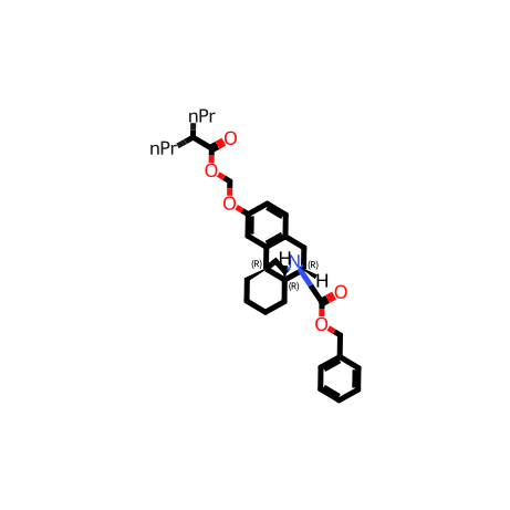 CCCC(CCC)C(=O)OCOc1ccc2c(c1)[C@@]13CCCC[C@H]1[C@@H](C2)N(C(=O)OCc1ccccc1)CC3